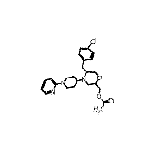 CC(=O)OCC1CN(C2CCN(c3ccccn3)CC2)[C@@H](Cc2ccc(Cl)cc2)CO1